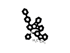 CC1(C)c2ccccc2-c2ccc(N(c3ccccc3)c3ccc(-c4ccc(-c5ccccc5)cc4)c4c3C3c5ccccc5C35c3ccccc3C45)cc21